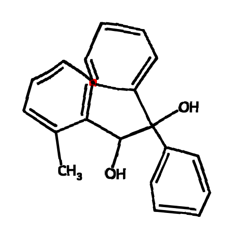 Cc1ccccc1C(O)C(O)(c1ccccc1)c1ccccc1